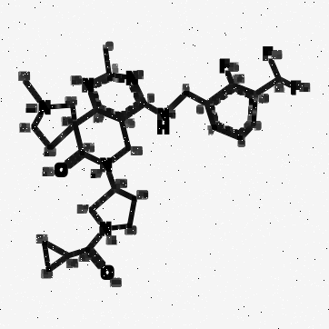 Cc1nc(NCc2cccc(C(F)F)c2F)c2c(n1)C1(CCN(C)C1)C(=O)N(C1CCN(C(=O)C3CC3)C1)C2